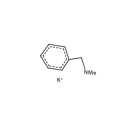 C[N-]Cc1ccccc1.[K+]